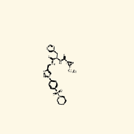 CCOC(=O)[C@H]1O[C@@H]1C(=O)NC(Cc1cscn1)C(=O)NCc1cn(-c2ccc(S(=O)(=O)N3CCCCC3)cc2)nn1